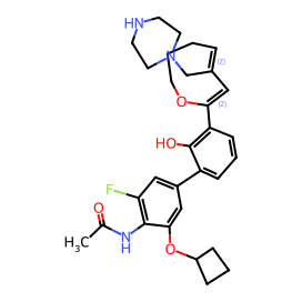 CC(=O)Nc1c(F)cc(-c2cccc(/C3=C/C(CN4CCNCC4)=C/CCCO3)c2O)cc1OC1CCC1